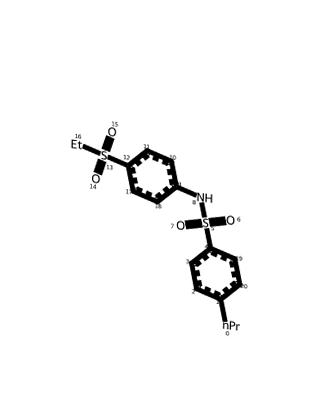 CCCc1ccc(S(=O)(=O)Nc2ccc(S(=O)(=O)CC)cc2)cc1